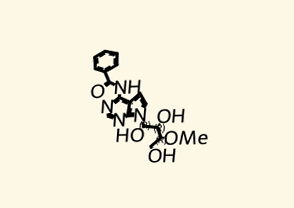 CO[C@H](CO)[C@@H](O)[C@@H](O)n1ccc2c(NC(=O)c3ccccc3)ncnc21